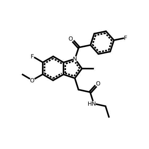 CCNC(=O)Cc1c(C)n(C(=O)c2ccc(F)cc2)c2cc(F)c(OC)cc12